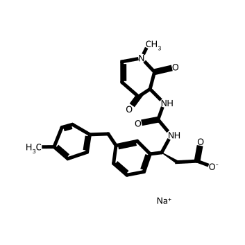 Cc1ccc(Cc2cccc([C@H](CC(=O)[O-])NC(=O)NC3C(=O)C=CN(C)C3=O)c2)cc1.[Na+]